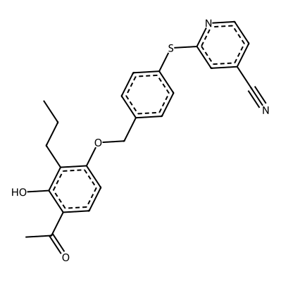 CCCc1c(OCc2ccc(Sc3cc(C#N)ccn3)cc2)ccc(C(C)=O)c1O